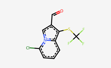 O=Cc1cn2c(Cl)cccc2c1SC(F)(F)F